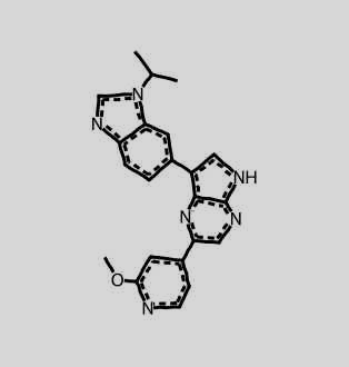 COc1cc(-c2cnc3[nH]cc(-c4ccc5ncn(C(C)C)c5c4)c3n2)ccn1